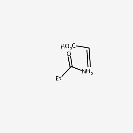 C=CC(=O)O.CCC(N)=O